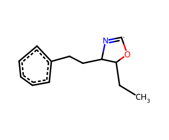 CCC1O[C]=NC1CCc1ccccc1